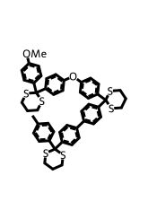 COc1ccc(C2(c3ccc(Oc4ccc(C5(c6ccc(-c7ccc(C8(c9ccc(C)cc9)SCCCS8)cc7)cc6)SCCCS5)cc4)cc3)SCCCS2)cc1